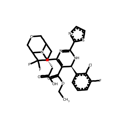 CCOC(=O)C1=C(CN2C3COCC2C(F)(F)[C@@H](CC(=O)O)C3)N=C(c2nccs2)N[C@H]1c1cccc(F)c1Cl